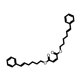 O=C(/C=C\C(=O)OCCCCC=Cc1ccccc1)OCCCCC=Cc1ccccc1